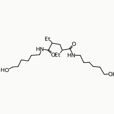 CCC(CC(CC)C(=O)NCCCCCCO)C(=O)NCCCCCCO